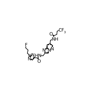 O=C(CCC(F)(F)F)NCc1cnn2cc(CNC(=O)c3cnn(CCCF)n3)nc2c1